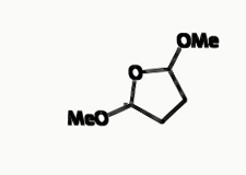 CO[C]1CCC(OC)O1